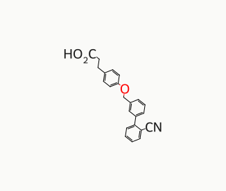 N#Cc1ccccc1-c1cccc(COc2ccc(CCC(=O)O)cc2)c1